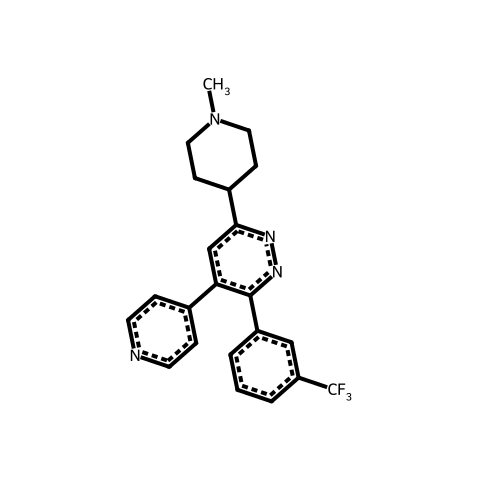 CN1CCC(c2cc(-c3ccncc3)c(-c3cccc(C(F)(F)F)c3)nn2)CC1